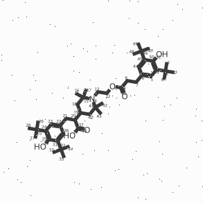 CC(C)(C)c1cc(CCC(=O)OCCN2C(C)(C)CC(C(Cc3cc(C(C)(C)C)c(O)c(C(C)(C)C)c3)C(=O)O)CC2(C)C)cc(C(C)(C)C)c1O